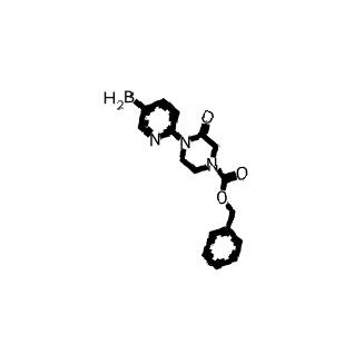 Bc1ccc(N2CCN(C(=O)OCc3ccccc3)CC2=O)nc1